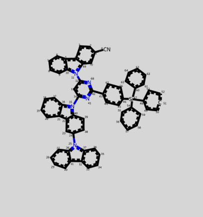 N#Cc1ccc2c3ccccc3n(-c3cc(-n4c5ccccc5c5cc(-n6c7ccccc7c7ccccc76)ccc54)nc(-c4ccc([Si](c5ccccc5)(c5ccccc5)c5ccccc5)cc4)n3)c2c1